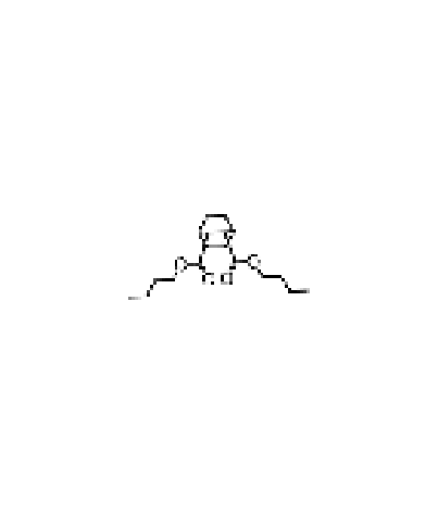 CCCCOC(=O)C1C2C=CC(CC2)C1C(=O)OCCCC